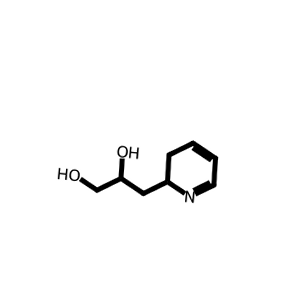 OCC(O)CC1CC=CC=N1